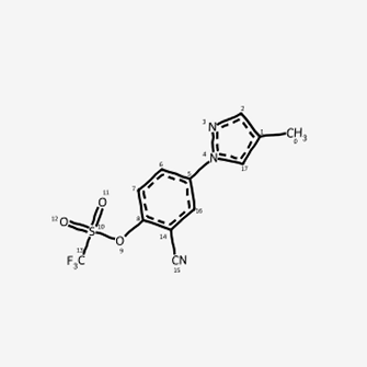 Cc1cnn(-c2ccc(OS(=O)(=O)C(F)(F)F)c(C#N)c2)c1